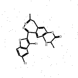 CCc1ccc2oc(C3=NN=C(C)Cc4cc5c(cc43)NC(C)C(=O)O5)c(CC)c2c1